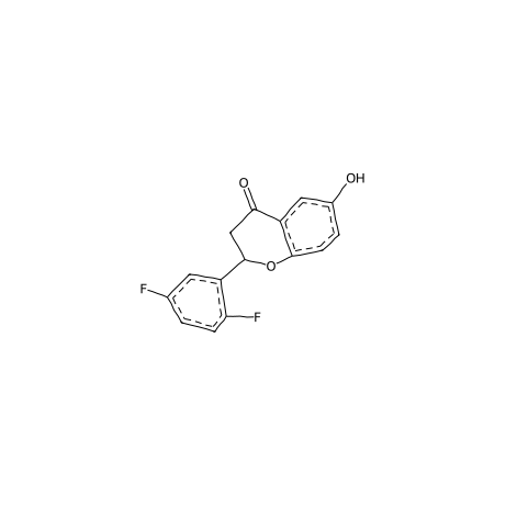 O=C1CC(c2cc(F)ccc2F)Oc2ccc(O)cc21